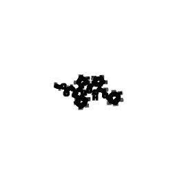 CCOC(=O)CN(Cc1ccccc1)C(=O)N1CCC[C@@H]1C(=O)N1CCC[C@H]1C(O)COc1ccccc1